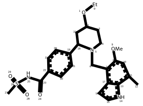 CCOC1CCN(Cc2c(OC)cc(C)c3[nH]ccc23)C(c2ccc(C(=O)NS(C)(=O)=O)cc2)C1